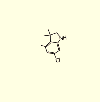 Cc1cc(Cl)cc2c1C(C)(C)CN2